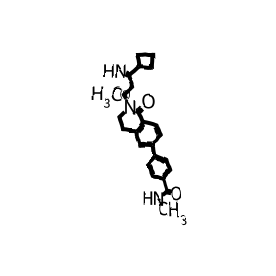 CNC(=O)c1ccc(-c2ccc3c(c2)CCN([C@@H](C)CC(=N)C2CCC2)C3=O)cc1